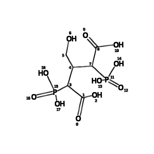 O=C(O)C(C(CO)C(C(=O)O)P(=O)(O)O)P(=O)(O)O